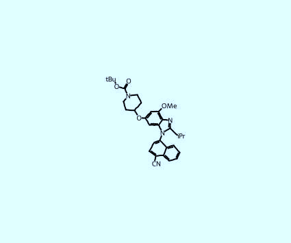 COc1cc(OC2CCN(C(=O)OC(C)(C)C)CC2)cc2c1nc(C(C)C)n2-c1ccc(C#N)c2ccccc12